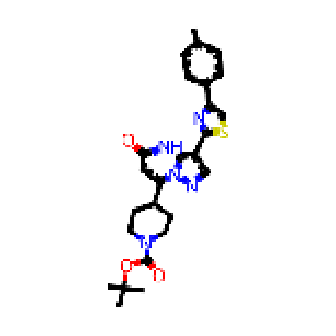 Cc1ccc(-c2csc(-c3cnn4c(C5CCN(C(=O)OC(C)(C)C)CC5)cc(=O)[nH]c34)n2)cc1